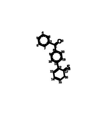 O=C(c1ccccc1)c1ccc(C2=CC=CCC2=S)cc1